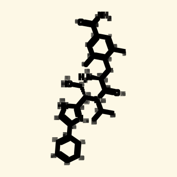 Cc1cc(C(N)=O)cc(C)c1C[C@H](N)C(=O)N(C(C)C)[C@@H](CO)c1nc(-c2ccccc2)c[nH]1